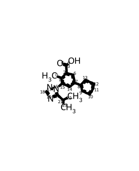 Cc1c(C(=O)O)cc(-c2ccccc2)cc1-n1ncnc1C(C)C